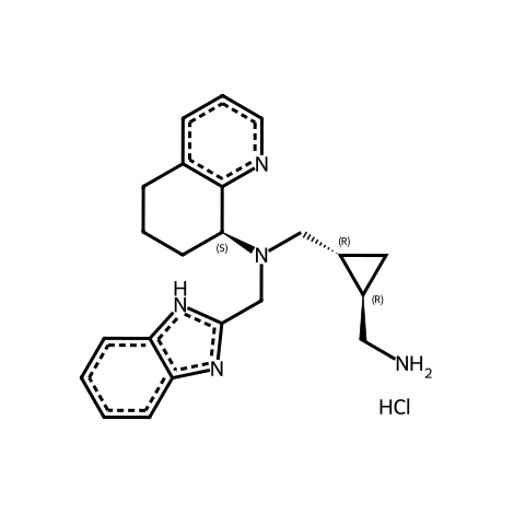 Cl.NC[C@@H]1C[C@H]1CN(Cc1nc2ccccc2[nH]1)[C@H]1CCCc2cccnc21